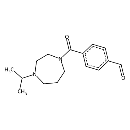 CC(C)N1CCCN(C(=O)c2ccc(C=O)cc2)CC1